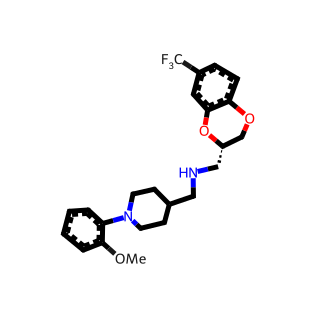 COc1ccccc1N1CCC(CNC[C@H]2COc3ccc(C(F)(F)F)cc3O2)CC1